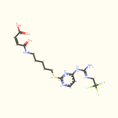 NC(=NCC(F)(F)F)Nc1ccnc(SCCCCCNC(=O)/C=C\C(=O)O)n1